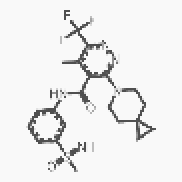 Cc1c(C(F)(F)F)nnc(N2CCC3(CC2)CC3)c1C(=O)Nc1cccc(S(C)(=N)=O)c1